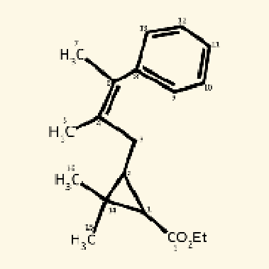 CCOC(=O)C1C(C/C(C)=C(/C)c2ccccc2)C1(C)C